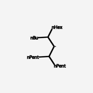 CCCCCCC([CH]C(CCCCC)CCCCC)CCCC